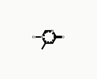 CCn1[c]nc(=O)cc1C